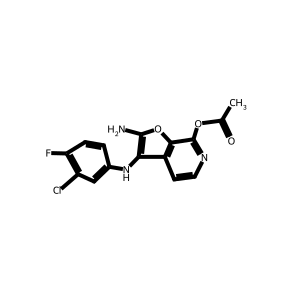 CC(=O)Oc1nccc2c(Nc3ccc(F)c(Cl)c3)c(N)oc12